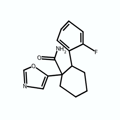 NC(=O)C1(c2cnco2)CCCCC1c1ccccc1F